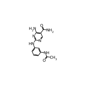 CC(=O)Nc1cccc(Nc2ncc(C(N)=O)c(N)n2)c1